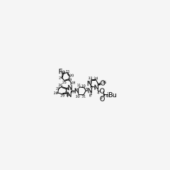 CCC(C)C(=O)OCn1c(N(C)C2CCN(c3nc4c(n3Cc3ccc(F)cc3)=CCCC=4)CC2)nccc1=O